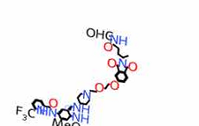 COC1=CC(=N)/C(=C\NC2CCN(CCOCCOc3ccc4c(c3)C(=O)N(C(C)CCC(=O)NC=O)C4=O)CC2)C=C1NC(=O)c1cccc(C(F)(F)F)n1